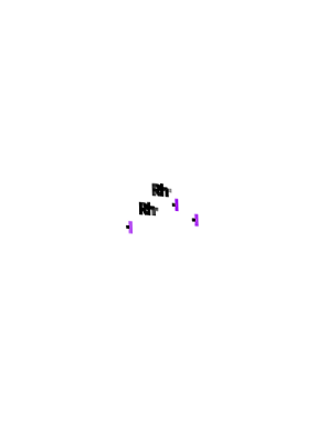 [I].[I].[I].[Rh].[Rh]